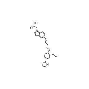 CCCc1cc(-c2nccs2)ccc1OCCCOc1ccc2c(ccn2CC(=O)O)c1